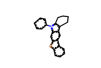 c1ccc(-n2c3c(c4cc5c(cc42)sc2ccccc25)CCCC3)cc1